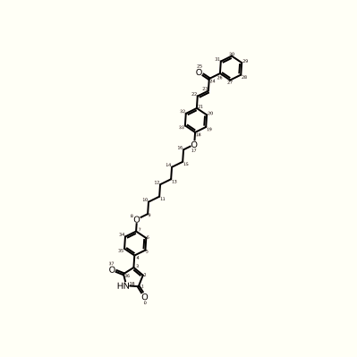 O=C1C=C(c2ccc(OCCCCCCCCOc3ccc(C=CC(=O)c4ccccc4)cc3)cc2)C(=O)N1